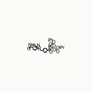 CC(C)OC(=O)OC(OC(=O)OC(C)C)O[PH](=O)c1ccc(Cn2cnc3nc(C(N)=O)ccc32)cc1